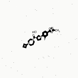 Cc1noc(-c2ccc(N3CC[C@@H](C(=O)N4CCCN(C5CCC5)CC4)C3)c(F)c2)n1.Cl